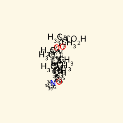 CC(C)(CC(=O)O)CC(=O)O[C@H]1CC[C@@]2(C)C(CC[C@]3(C)C2CC[C@@H]2[C@H]4CCC[C@]4(CC(=O)N4CCCC4)CC[C@]23C)C1(C)C